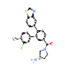 N#Cc1ccc(-c2cc(C(=O)N3CC[C@H](N)C3)ccc2-c2ccc3scnc3c2)cc1F